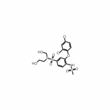 CS(=O)(=O)Nc1ccc(S(=O)(=O)N(CO)CCO)cc1Oc1ccc(Cl)cc1Cl